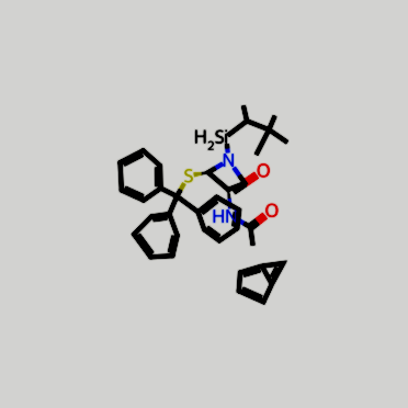 CC(=O)N[C@@H]1C(=O)N([SiH2]C(C)C(C)(C)C)[C@@H]1SC(c1ccccc1)(c1ccccc1)c1ccccc1.c1cc2cc-2c1